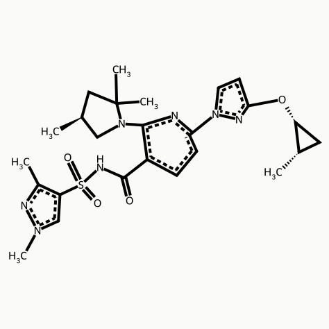 Cc1nn(C)cc1S(=O)(=O)NC(=O)c1ccc(-n2ccc(O[C@@H]3C[C@@H]3C)n2)nc1N1C[C@@H](C)CC1(C)C